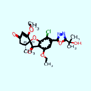 CCOc1cc(-c2nnc(C(C)(C)O)o2)c(Cl)c2c1C(=O)[C@@]1(O2)C(OC)=CC(=O)C[C@H]1C